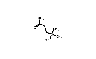 C[Si](C)(C)COC(N)=O